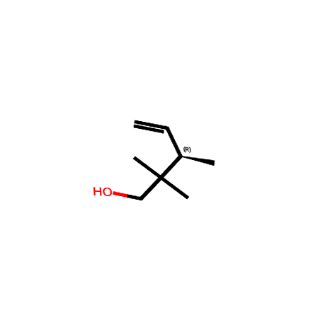 C=C[C@@H](C)C(C)(C)CO